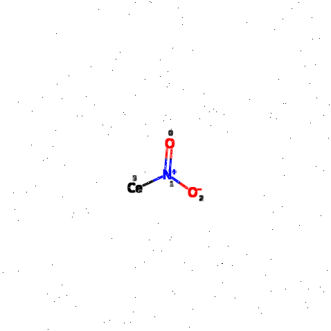 O=[N+]([O-])[Ce]